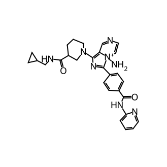 N[N+]12C=CN=CC1=C(N1CCCC(C(=O)NCC3CC3)C1)N=C2c1ccc(C(=O)Nc2ccccn2)cc1